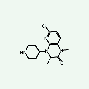 C[C@@H]1C(=O)N(C)c2ccc(Cl)nc2N1C1CCNCC1